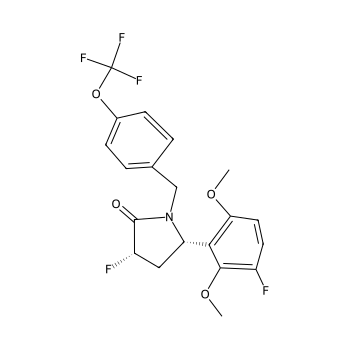 COc1ccc(F)c(OC)c1[C@@H]1C[C@H](F)C(=O)N1Cc1ccc(OC(F)(F)F)cc1